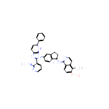 Nc1ncccc1-c1nc2ccc(-c3ccccc3)nc2n1-c1ccc2c(c1)CC[C@@H]2Nc1nccc2c(C=O)c(O)ccc12